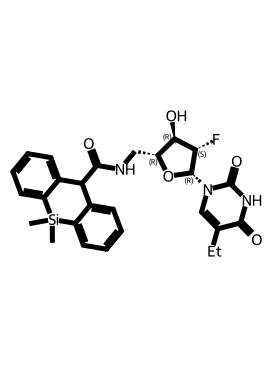 CCc1cn([C@@H]2O[C@H](CNC(=O)C3c4ccccc4[Si](C)(C)c4ccccc43)[C@@H](O)[C@@H]2F)c(=O)[nH]c1=O